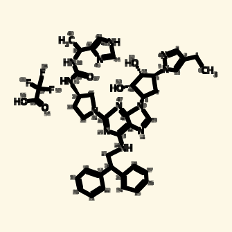 CCc1cnn([C@H]2C[C@@H](n3cnc4c(NCC(c5ccccc5)c5ccccc5)nc(N5CC[C@@H](NC(=O)NC(C)c6c[nH]cn6)C5)nc43)[C@H](O)[C@@H]2O)c1.O=C(O)C(F)(F)F